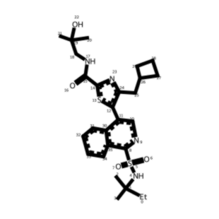 CCC(C)(C)NS(=O)(=O)c1ncc(-c2sc(C(=O)NCC(C)(C)O)nc2CC2CCC2)c2ccccc12